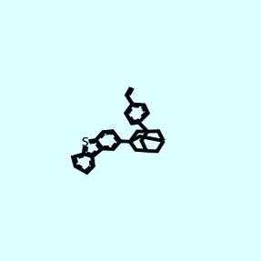 C=Cc1ccc(C23CC4CC(C2)CC(c2ccc5sc6ccccc6c5c2)(C4)C3)cc1